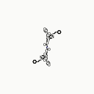 O=C(/C=C/C(=O)OCCCN(CCN1CCOCC1)c1c(Cl)cnn(CC=Cc2ccccc2)c1=O)OCCCN(CCN1CCOCC1)c1c(Cl)cnn(CC=Cc2ccccc2)c1=O